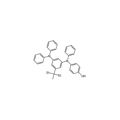 CCCc1ccc(N(c2ccccc2)c2cc(N(c3ccccc3)c3ccccc3)cc(C(C)(CC)CC)c2)cc1